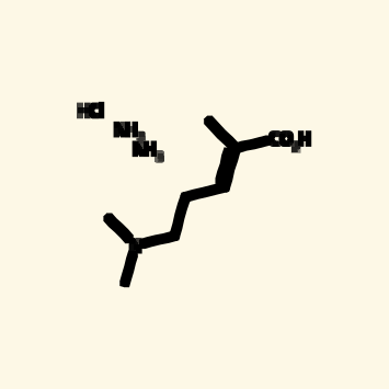 CC(=CCCN(C)C)C(=O)O.Cl.N.N